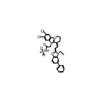 CCN1/C(=C\C=C2\CCC[n+]3c2n(CC(=O)NS(C)(=O)=O)c2cc(Cl)c(Cl)cc23)Oc2ccc(-c3ccccc3)cc21